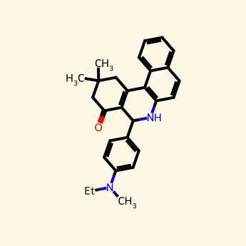 CCN(C)c1ccc(C2Nc3ccc4ccccc4c3C3=C2C(=O)CC(C)(C)C3)cc1